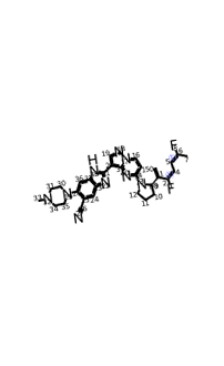 C=C(/C(F)=C\C=C(/C)F)[C@H]1CCCN1c1ccn2ncc(-c3nc4cc(C#N)c(N5CCN(C)CC5)cc4[nH]3)c2n1